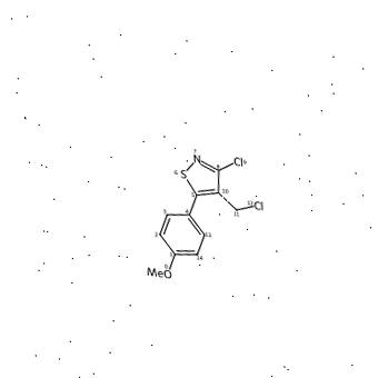 COc1ccc(-c2snc(Cl)c2CCl)cc1